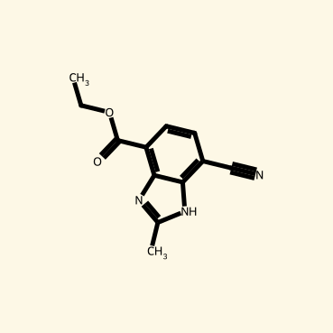 CCOC(=O)c1ccc(C#N)c2[nH]c(C)nc12